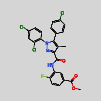 COC(=O)c1ccc(F)c(NC(=O)c2nn(-c3ccc(Cl)cc3Cl)c(-c3ccc(Cl)cc3)c2C)c1